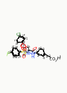 O=C(O)Cc1ccc(NC(=O)[C@H](COc2ccc(Cl)cc2)NS(=O)(=O)c2ccc(F)cc2)cc1